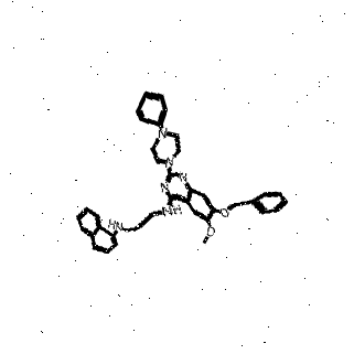 COc1cc2c(NCCNc3cccc4ccccc34)nc(N3CCN(c4ccccc4)CC3)nc2cc1OCc1ccccc1